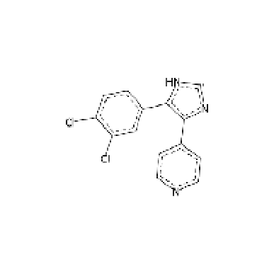 Clc1ccc(-c2[nH][c]nc2-c2ccncc2)cc1Cl